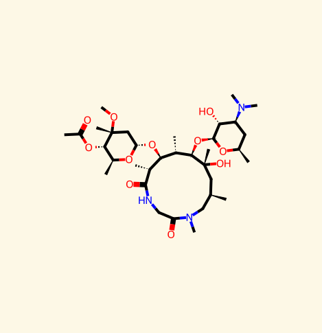 CO[C@]1(C)C[C@H](O[C@H]2[C@H](C)[C@@H](O[C@@H]3O[C@H](C)C[C@H](N(C)C)[C@H]3O)[C@](C)(O)C[C@@H](C)CN(C)C(=O)CNC(=O)[C@@H]2C)O[C@@H](C)[C@@H]1OC(C)=O